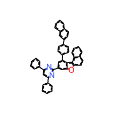 c1ccc(-c2cc(-c3ccccc3)nc(-c3cc(-c4ccc(-c5ccc6ccccc6c5)cc4)c4c(c3)oc3ccc5ccccc5c34)n2)cc1